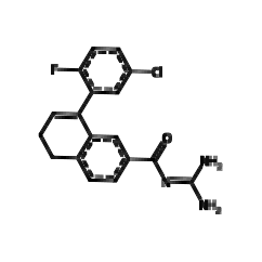 NC(N)=NC(=O)c1ccc2c(c1)C(c1cc(Cl)ccc1F)=CCC2